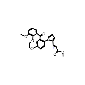 CCOc1c(OC)cccc1C(=O)c1cc(Cl)ccc1-n1cccc1/C=C/C(=O)OC